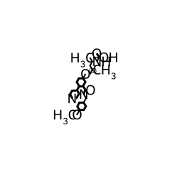 COc1ccc(Cn2c(=O)c3cc(OC[C@@H](C)CC(C)NC(=O)O)ccc3c3ccncc32)cc1